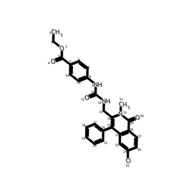 CCOC(=O)c1ccc(NC(=O)NCc2c(-c3ccccc3)c3cc(Cl)ccc3c(=O)n2C)cc1